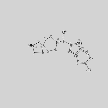 O=C(c1cc2cc(Cl)ccc2[nH]1)N1CCC2(CCNC2)CC1